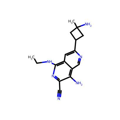 CCNc1nc(C#N)c(N)c2cnc(C3CC(C)(N)C3)cc12